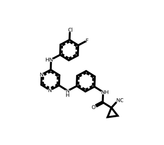 [C-]#[N+]C1(C(=O)Nc2cccc(Nc3cc(Nc4ccc(F)c(Cl)c4)ncn3)c2)CC1